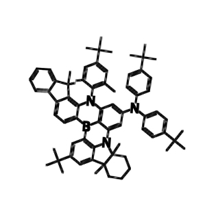 Cc1cc(C(C)(C)C)cc(C)c1N1c2cc(N(c3ccc(C(C)(C)C)cc3)c3ccc(C(C)(C)C)cc3)cc3c2B(c2ccc4c(c21)C(C)(C)c1ccccc1-4)c1cc(C(C)(C)C)cc2c1N3C1(C)CCCCC21C